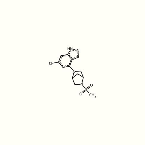 CS(=O)(=O)N1CC2CC1CN2c1cc(Cl)cc2[nH]ncc12